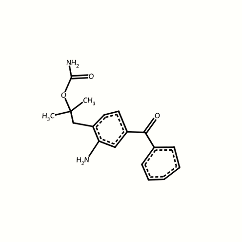 CC(C)(Cc1ccc(C(=O)c2ccccc2)cc1N)OC(N)=O